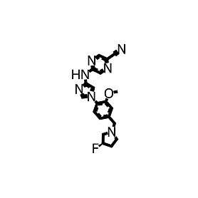 COc1cc(CN2CC[C@@H](F)C2)ccc1-n1cnc(Nc2cnc(C#N)cn2)c1